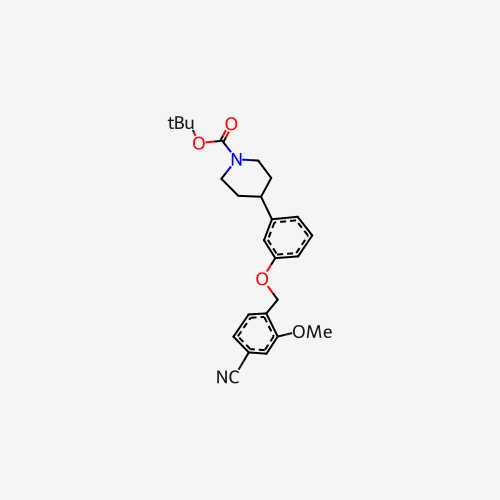 COc1cc(C#N)ccc1COc1cccc(C2CCN(C(=O)OC(C)(C)C)CC2)c1